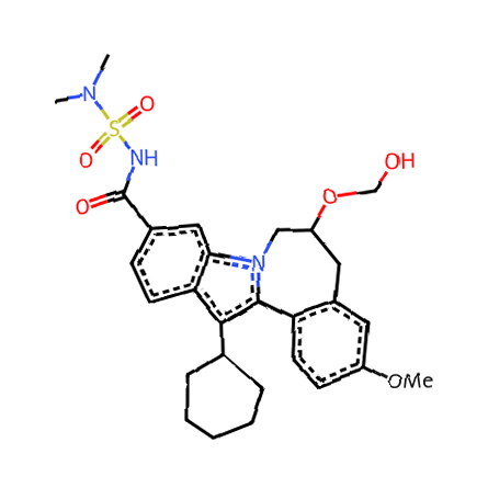 COc1ccc2c(c1)CC(OCO)Cn1c-2c(C2CCCCC2)c2ccc(C(=O)NS(=O)(=O)N(C)C)cc21